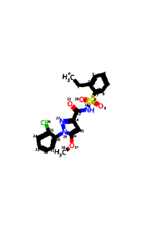 CCc1ccccc1S(=O)(=O)NC(=O)c1cc(OC)n(-c2ccccc2Cl)n1